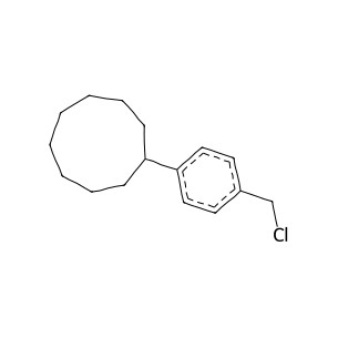 ClCc1ccc(C2CCCCCCCC2)cc1